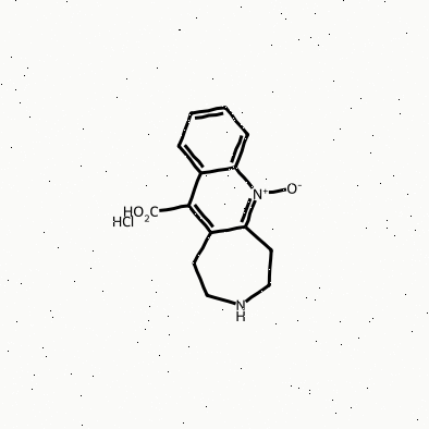 Cl.O=C(O)c1c2c([n+]([O-])c3ccccc13)CCNCC2